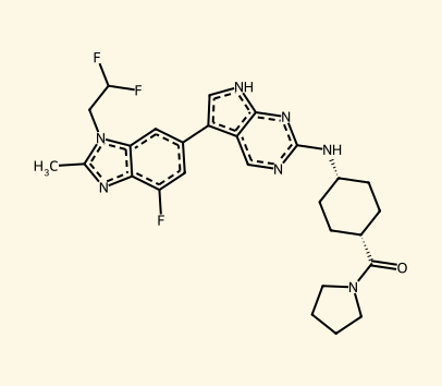 Cc1nc2c(F)cc(-c3c[nH]c4nc(N[C@H]5CC[C@@H](C(=O)N6CCCC6)CC5)ncc34)cc2n1CC(F)F